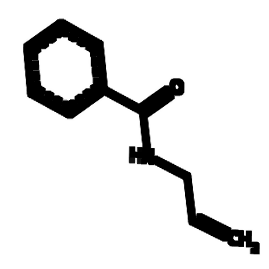 C=CCNC(=O)c1ccccc1